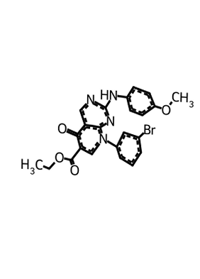 CCOC(=O)c1cn(-c2cccc(Br)c2)c2nc(Nc3ccc(OC)cc3)ncc2c1=O